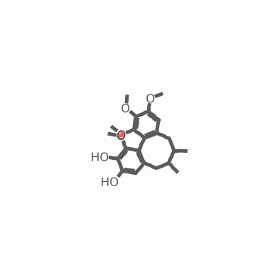 COc1cc2c(c(OC)c1OC)-c1c(cc(O)c(O)c1OC)CC(C)C(C)C2